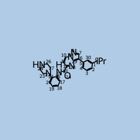 CC(C)c1cccc(-c2cnn3ccc(C(=O)Nc4ccccc4N4CCNCC4)nc23)c1